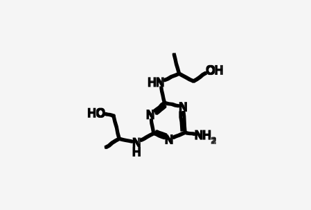 CC(CO)Nc1nc(N)nc(NC(C)CO)n1